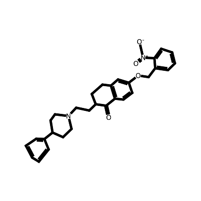 O=C1c2ccc(OCc3ccccc3[N+](=O)[O-])cc2CCC1CCN1CCC(c2ccccc2)CC1